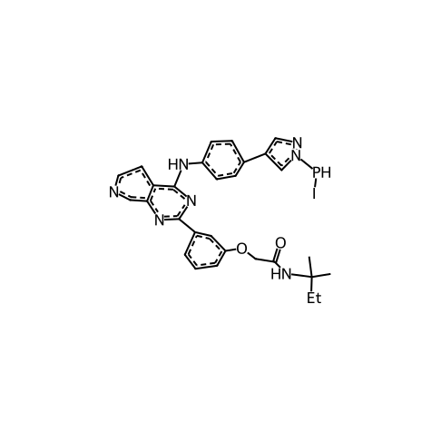 CCC(C)(C)NC(=O)COc1cccc(-c2nc(Nc3ccc(-c4cnn(PI)c4)cc3)c3ccncc3n2)c1